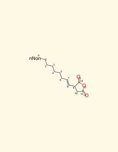 CCCCCCCCCCCCCCCC=CC1CC(=O)OC1=O